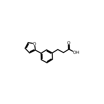 O=C(O)CCc1cccc(-c2ccco2)c1